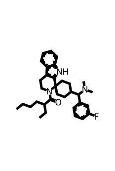 CCCCC(CC)C(=O)N1CCc2c([nH]c3ccccc23)C12CCC(C(c1cccc(F)c1)N(C)C)CC2